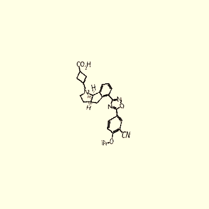 CC(C)Oc1ccc(-c2nc(-c3cccc4c3C[C@H]3CCN(C5CC(C(=O)O)C5)[C@@H]43)no2)cc1C#N